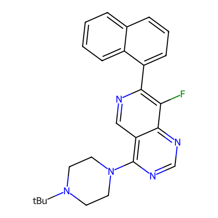 CC(C)(C)N1CCN(c2ncnc3c(F)c(-c4cccc5ccccc45)ncc23)CC1